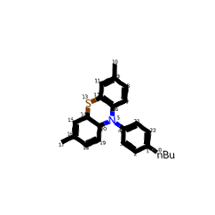 CCCCc1ccc(N2c3ccc(C)cc3SC3C=C(C)C=CC32)cc1